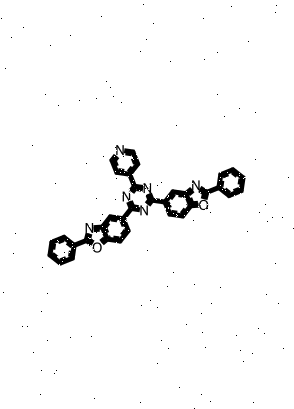 c1ccc(-c2nc3cc(-c4nc(-c5ccncc5)nc(-c5ccc6oc(-c7ccccc7)nc6c5)n4)ccc3o2)cc1